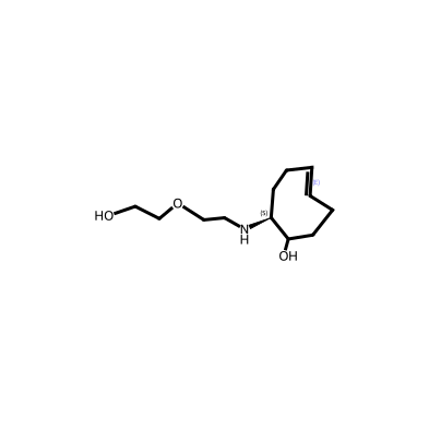 OCCOCCN[C@H]1CC/C=C/CCC1O